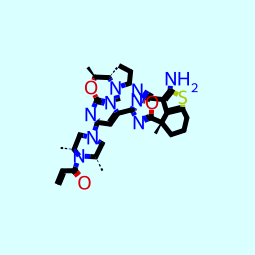 C=CC(=O)N1[C@H](C)CN(c2cc(-c3noc([C@@]4(C)CCCc5sc(N)c(C#N)c54)n3)nc(O[C@@H](C)[C@@H]3CCCN3C)n2)C[C@@H]1C